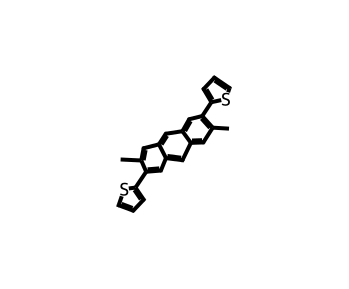 Cc1cc2cc3cc(-c4cccs4)c(C)cc3cc2cc1-c1cccs1